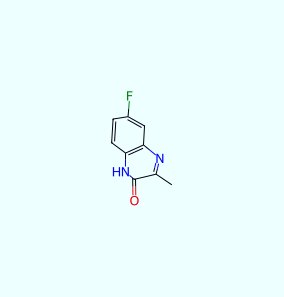 Cc1nc2cc(F)ccc2[nH]c1=O